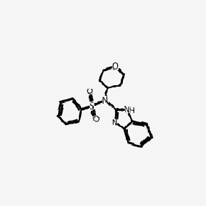 O=S(=O)(c1ccccc1)N(c1nc2ccccc2[nH]1)C1CCOCC1